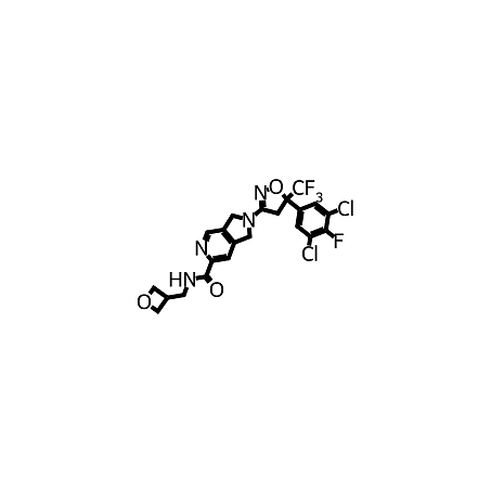 O=C(NCC1COC1)c1cc2c(cn1)CN(C1=NOC(c3cc(Cl)c(F)c(Cl)c3)(C(F)(F)F)C1)C2